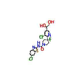 O=C(Nc1nc2ccc(Cl)cc2s1)N1CCC(F)(c2ncc([C@H](O)CO)cc2Cl)CC1